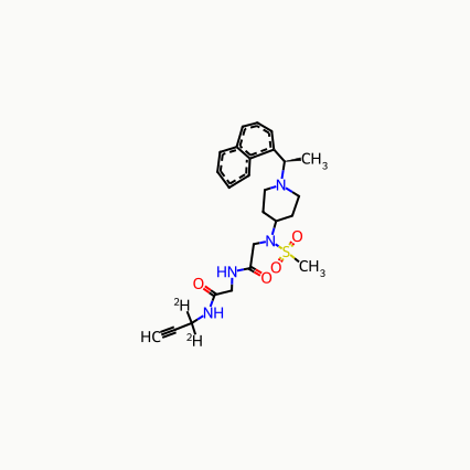 [2H]C([2H])(C#C)NC(=O)CNC(=O)CN(C1CCN([C@H](C)c2cccc3ccccc23)CC1)S(C)(=O)=O